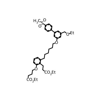 CCOCc1cc(OCCCCCCc2cccc(OCCCC(=O)OCC)c2CCC(=O)OCC)cc(-c2ccc(S(C)(=O)=O)cc2)c1